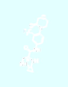 NC[C@H](NC1CC1)C(=O)Nc1ccc(N2CCOCC2=O)c(C(F)(F)F)c1